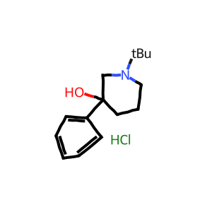 CC(C)(C)N1CCCC(O)(c2ccccc2)C1.Cl